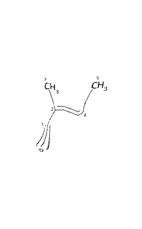 [C]#C/C(C)=C/C